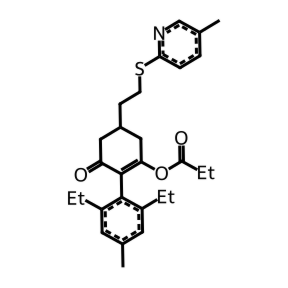 CCC(=O)OC1=C(c2c(CC)cc(C)cc2CC)C(=O)CC(CCSc2ccc(C)cn2)C1